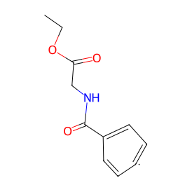 CCOC(=O)CNC(=O)c1cc[c]cc1